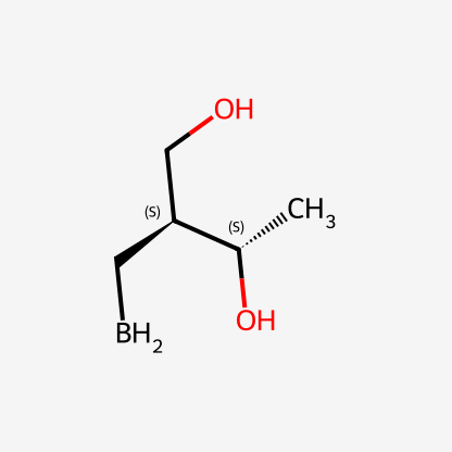 BC[C@@H](CO)[C@H](C)O